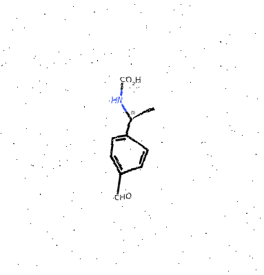 C[C@H](NC(=O)O)c1ccc(C=O)cc1